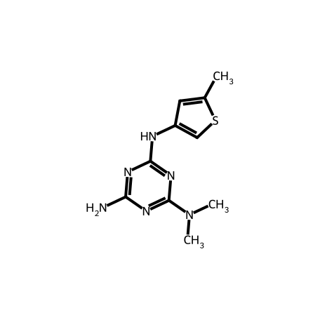 Cc1cc(Nc2nc(N)nc(N(C)C)n2)cs1